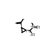 C=C(C)[C@@H]1C[C@@H]1C(CC)N(C)CC